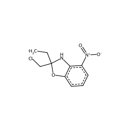 [CH2]CC1(CCl)Nc2c(cccc2[N+](=O)[O-])O1